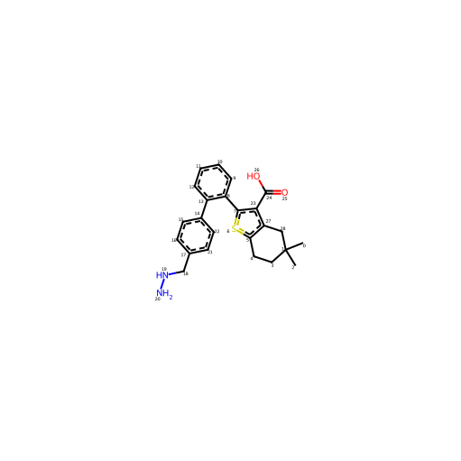 CC1(C)CCc2sc(-c3ccccc3-c3ccc(CNN)cc3)c(C(=O)O)c2C1